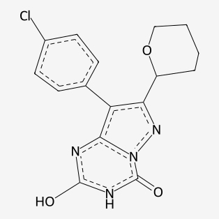 O=c1[nH]c(O)nc2c(-c3ccc(Cl)cc3)c(C3CCCCO3)nn12